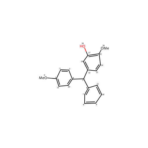 COc1ccc([C](c2ccccc2)c2ccc(OC)c(O)c2)cc1